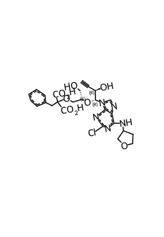 C#C[C@@H](O)[C@@H](O[C@@H](CO)COC(Cc1ccccc1)(C(=O)O)C(=O)O)n1cnc2c(NC3CCOC3)nc(Cl)nc21